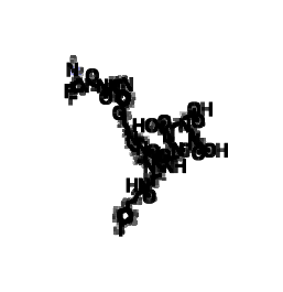 C/N=C/[C@H]1CC(F)(F)CN1C(=O)CNC(=O)c1ccnc2ccc(OCCCCN3CCN(C(=O)[C@H](C)NC(=O)[C@H](CCCNC(=O)CCCc4ccc(I)cc4)NC(=O)CN4CCN(CC(=O)O)CCN(CC(=O)O)CCN(CC(=O)O)CC4)CC3)cc12